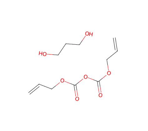 C=CCOC(=O)OC(=O)OCC=C.OCCCO